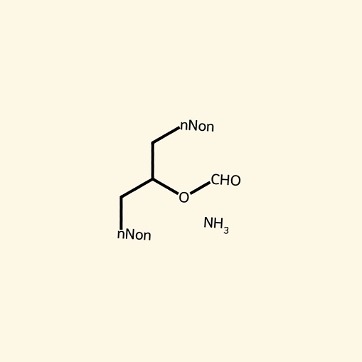 CCCCCCCCCCC(CCCCCCCCCC)OC=O.N